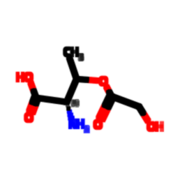 CC(OC(=O)CO)[C@H](N)C(=O)O